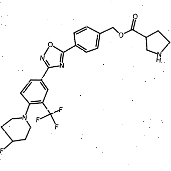 O=C(OCc1ccc(-c2nc(-c3ccc(N4CCC(F)CC4)c(C(F)(F)F)c3)no2)cc1)C1CCNC1